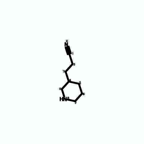 N#CCCC1[CH]CCNC1